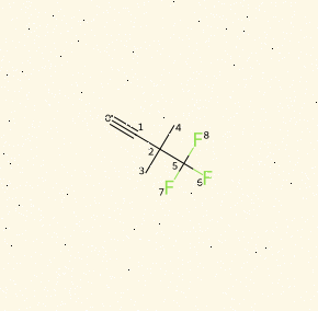 [C]#CC(C)(C)C(F)(F)F